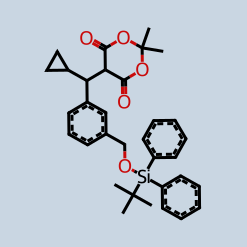 CC1(C)OC(=O)C(C(c2cccc(CO[Si](c3ccccc3)(c3ccccc3)C(C)(C)C)c2)C2CC2)C(=O)O1